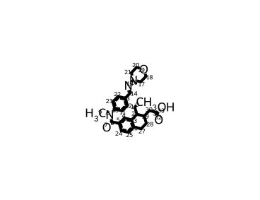 CCC1c2cc(C(=O)N(C)c3ccc(C=NN4CCOCC4)cc3)ccc2CCC1CC(=O)O